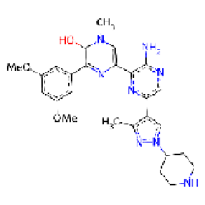 COc1cc(OC)cc(C2=NC(c3nc(-c4cn(C5CCNCC5)nc4C)cnc3N)=CN(C)C2O)c1